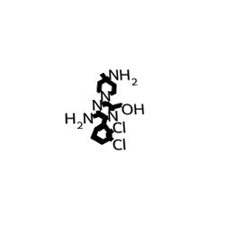 CC1(N)CCN(c2nc(N)c(-c3cccc(Cl)c3Cl)nc2CO)CC1